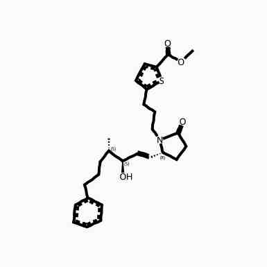 COC(=O)c1ccc(CCCN2C(=O)CC[C@@H]2C=C[C@@H](O)[C@@H](C)CCCc2ccccc2)s1